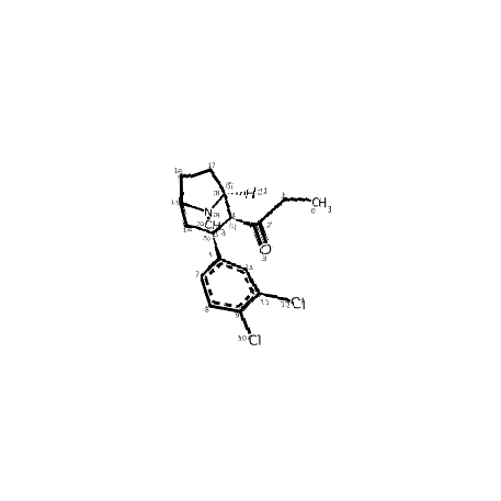 CCC(=O)[C@H]1[C@@H](c2ccc(Cl)c(Cl)c2)CC2CC[C@@H]1N2C